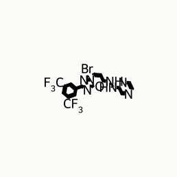 O=C(/C=C(/Br)n1cnc(-c2cc(C(F)(F)F)cc(C(F)(F)F)c2)n1)NNc1cnccn1